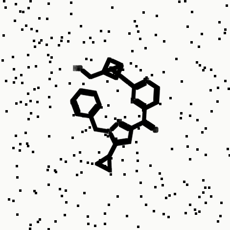 O=C(c1ccnc(N2CC3(CO)CC2C3)n1)c1cc(C2CC2)n(Cc2ccccc2)n1